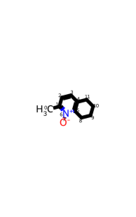 Cc1ccc2c([n+]1[O-])CCCC2